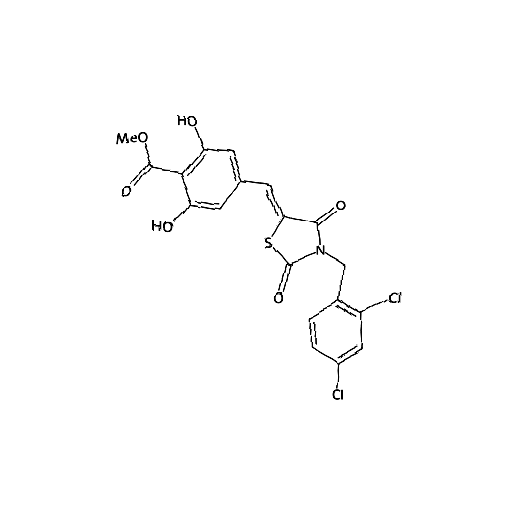 COC(=O)c1c(O)cc(/C=C2\SC(=O)N(Cc3ccc(Cl)cc3Cl)C2=O)cc1O